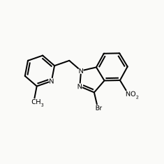 Cc1cccc(Cn2nc(Br)c3c([N+](=O)[O-])cccc32)n1